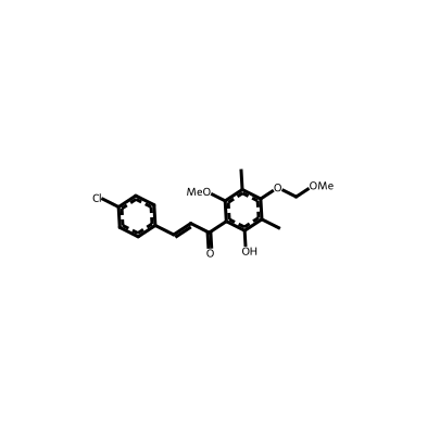 COCOc1c(C)c(O)c(C(=O)C=Cc2ccc(Cl)cc2)c(OC)c1C